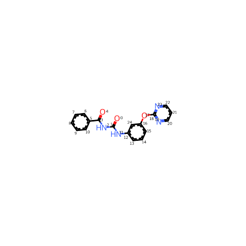 O=C(NC(=O)c1ccccc1)Nc1cccc(Oc2ncccn2)c1